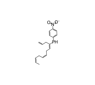 C=CC/C(=C\C/C=C\C/C=C\C)Pc1ccc([N+](=O)[O-])cc1